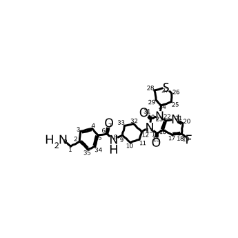 NCc1ccc(C(=O)NC2CCC(n3c(=O)c4cc(F)cnc4n(C4CCSCC4)c3=O)CC2)cc1